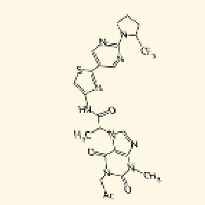 CC(=O)Cn1c(=O)c2c(ncn2C(C)C(=O)Nc2csc(-c3cnc(N4CCCC4C(F)(F)F)nc3)n2)n(C)c1=O